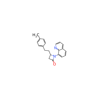 Cc1ccc(CCC2CC(=O)N2c2cccc3cccnc23)cc1